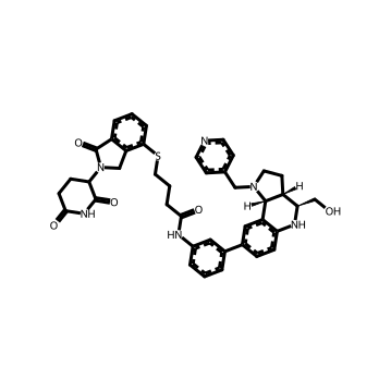 O=C1CCC(N2Cc3c(SCCCC(=O)Nc4cccc(-c5ccc6c(c5)[C@H]5[C@H](CCN5Cc5ccncc5)[C@@H](CO)N6)c4)cccc3C2=O)C(=O)N1